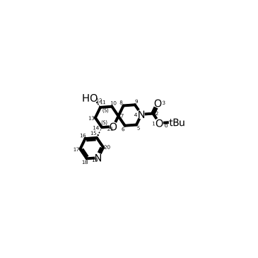 CC(C)(C)OC(=O)N1CCC2(CC1)C[C@@H](O)C[C@@H](c1cccnc1)O2